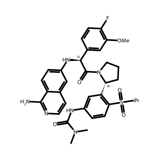 COc1cc([C@H](Nc2ccc3c(N)nccc3c2)C(=O)N2CCC[C@@H]2c2cc(NC(=O)N(C)C)ccc2S(=O)(=O)C(C)C)ccc1F